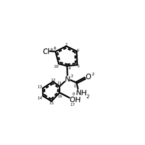 NC(=O)N(c1cccc(Cl)c1)c1ccccc1O